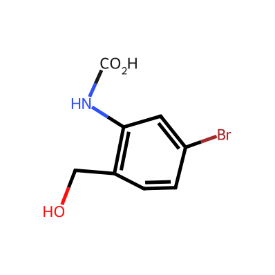 O=C(O)Nc1cc(Br)ccc1CO